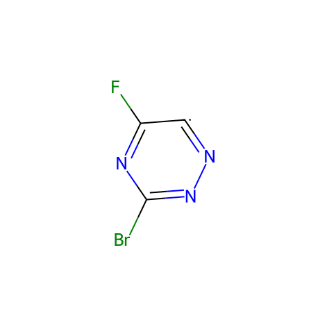 Fc1[c]nnc(Br)n1